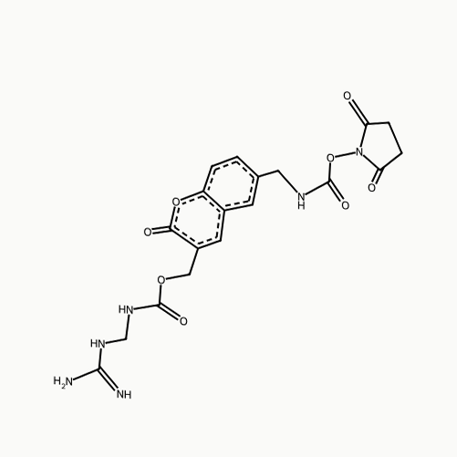 N=C(N)NCNC(=O)OCc1cc2cc(CNC(=O)ON3C(=O)CCC3=O)ccc2oc1=O